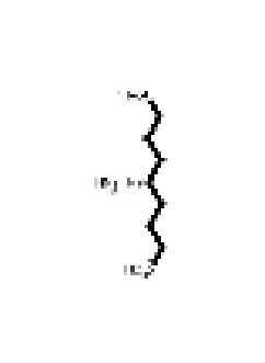 CCCCCCCCCCCCCCS(=O)(=O)O.[NaH].[NaH]